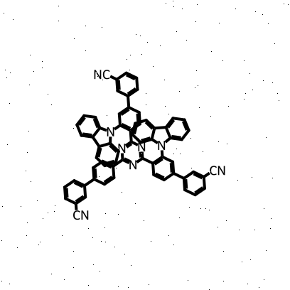 N#Cc1cccc(-c2ccc(-c3nc(-c4ccc(-c5cccc(C#N)c5)cc4-n4c5ccccc5c5ccccc54)nc(-c4ccc(-c5cccc(C#N)c5)cc4-n4c5ccccc5c5ccccc54)n3)cc2)c1